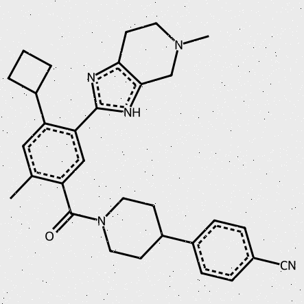 Cc1cc(C2CCC2)c(-c2nc3c([nH]2)CN(C)CC3)cc1C(=O)N1CCC(c2ccc(C#N)cc2)CC1